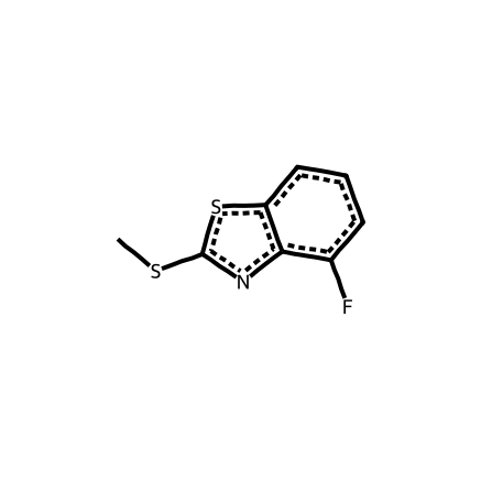 CSc1nc2c(F)cccc2s1